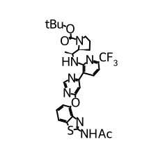 CC(=O)Nc1nc2c(Oc3cc(-c4ccc(C(F)(F)F)nc4N[C@@H](C)[C@@H]4CCCN4C(=O)OC(C)(C)C)ncn3)cccc2s1